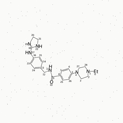 CCN1CCN(c2ccc(C(=O)NCc3ccc(NC4=NCCN4)cc3)cc2)CC1